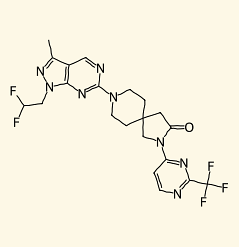 Cc1nn(CC(F)F)c2nc(N3CCC4(CC3)CC(=O)N(c3ccnc(C(F)(F)F)n3)C4)ncc12